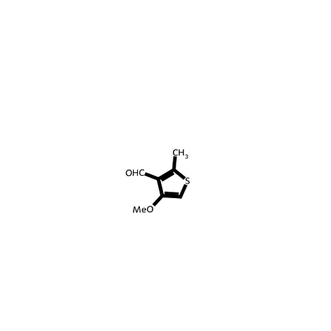 COc1csc(C)c1C=O